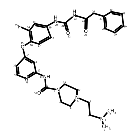 CN(C)CCN1CCN(C(=O)Nc2cc(Oc3ccc(NC(=O)NC(=O)Cc4ccccc4)cc3F)ccn2)CC1